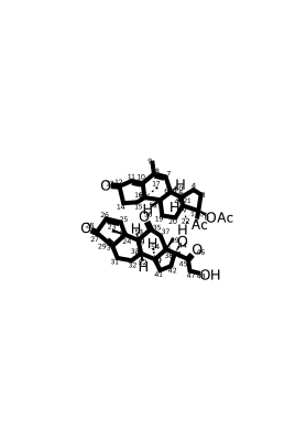 CC(=O)O[C@]1(C(C)=O)CC[C@H]2[C@@H]3C=C(C)C4=CC(=O)CC[C@]4(C)[C@H]3CC[C@@]21C.C[C@]12C=CC(=O)C=C1CC[C@@H]1[C@@H]2C(=O)C[C@@]2(C)[C@H]1CC[C@]2(O)C(=O)CO